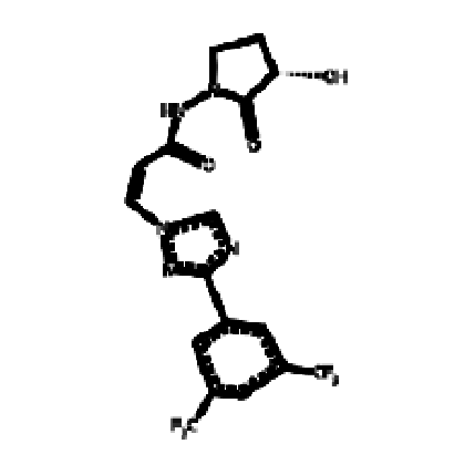 O=C(/C=C\n1cnc(-c2cc(C(F)(F)F)cc(C(F)(F)F)c2)n1)NN1CC[C@H](O)C1=O